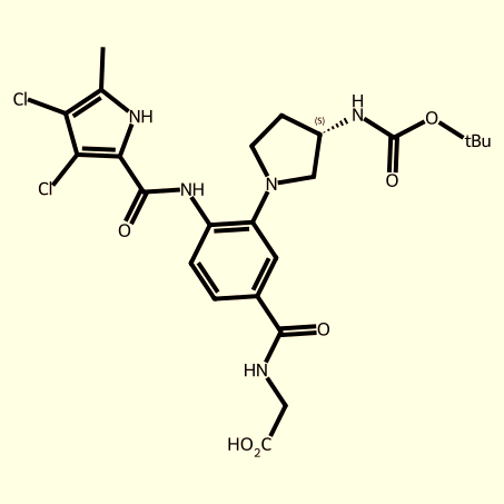 Cc1[nH]c(C(=O)Nc2ccc(C(=O)NCC(=O)O)cc2N2CC[C@H](NC(=O)OC(C)(C)C)C2)c(Cl)c1Cl